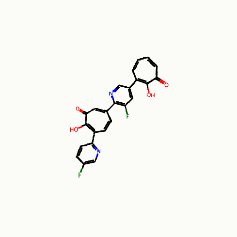 O=c1ccccc(-c2cnc(-c3ccc(-c4ccc(F)cn4)c(O)c(=O)c3)c(F)c2)c1O